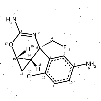 NC1=N[C@@](CF)(c2cc(N)ccc2Cl)[C@@H]2C[C@@H]2O1